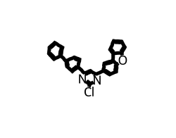 Clc1nc(-c2ccc(-c3ccccc3)cc2)cc(-c2ccc3oc4ccccc4c3c2)n1